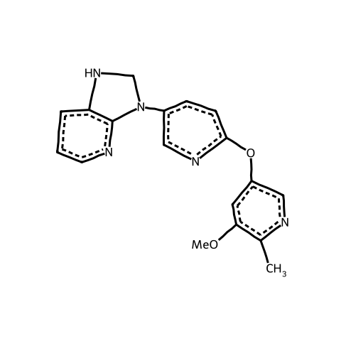 COc1cc(Oc2ccc(N3CNc4cccnc43)cn2)cnc1C